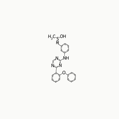 C[SH](O)Cc1cccc(Nc2ncnc(-c3ccccc3Oc3ccccc3)n2)c1